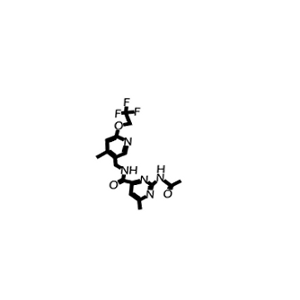 CC(=O)Nc1nc(C)cc(C(=O)NCc2cnc(OCC(F)(F)F)cc2C)n1